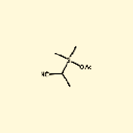 CC(=O)O[Si](C)(C)C(C)C#N